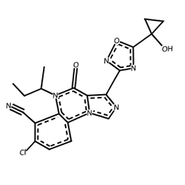 CCC(C)n1c(=O)c2c(-c3noc(C4(O)CC4)n3)ncn2c2ccc(Cl)c(C#N)c21